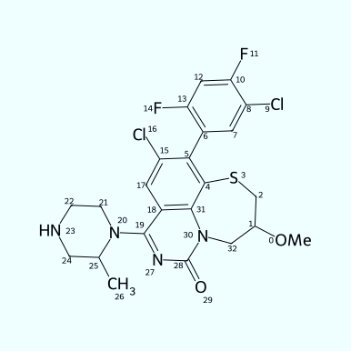 COC1CSc2c(-c3cc(Cl)c(F)cc3F)c(Cl)cc3c(N4CCNCC4C)nc(=O)n(c23)C1